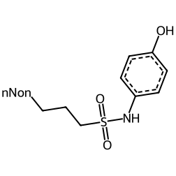 CCCCCCCCCCCCS(=O)(=O)Nc1ccc(O)cc1